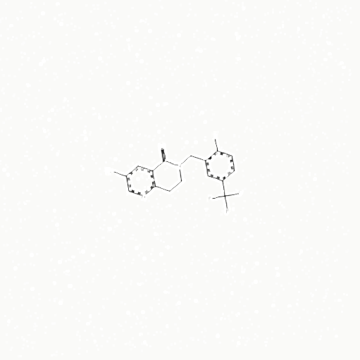 O=C1c2cc(Br)cnc2CCN1Cc1cc(C(F)(F)F)ccc1F